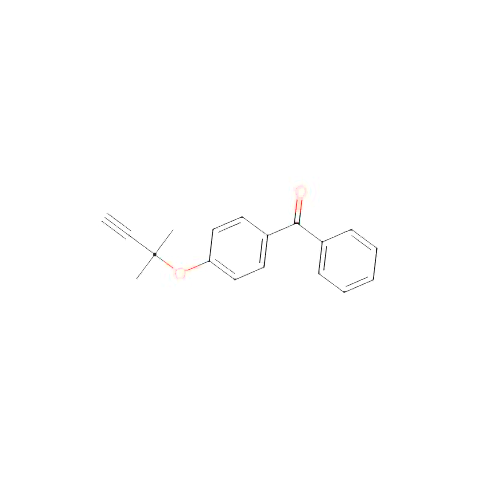 C#CC(C)(C)Oc1ccc(C(=O)c2ccccc2)cc1